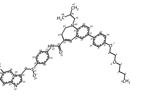 CCCCOCCOc1ccc(-c2ccc3c(c2)C=C(C(=O)Nc2ccc([S+]([O-])Cc4cnc5ccc(C)cn45)cc2)CCN3CC(C)C)cc1